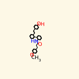 COc1ccc(CCC(=O)Nc2ccccc2-c2ccccc2C=Cc2ccc(O)cc2)cc1